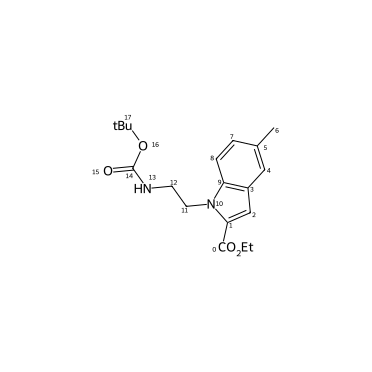 CCOC(=O)c1cc2cc(C)ccc2n1CCNC(=O)OC(C)(C)C